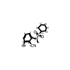 CN(c1cccc(Br)c1C#N)S(=O)(=O)C1CCCCC1